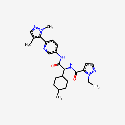 CCn1nccc1C(=O)N[C@H](C(=O)Nc1ccc(-c2c(C)cnn2C)nc1)C1CCC(C)CC1